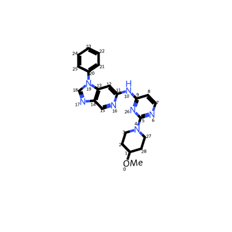 COC1CCN(c2nccc(Nc3cc4c(cn3)ncn4-c3ccccc3)n2)CC1